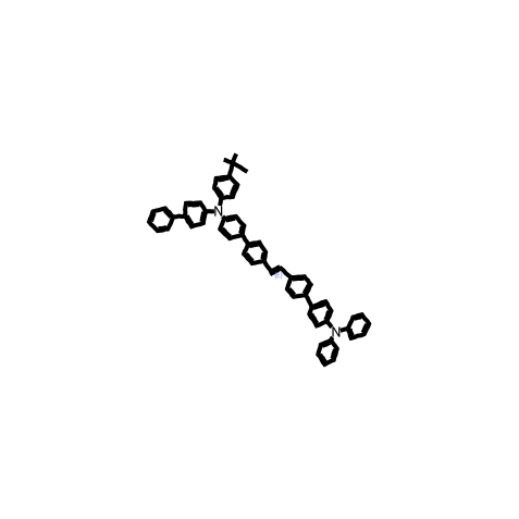 CC(C)(C)c1ccc(N(c2ccc(-c3ccccc3)cc2)c2ccc(-c3ccc(/C=C/c4ccc(-c5ccc(N(c6ccccc6)c6ccccc6)cc5)cc4)cc3)cc2)cc1